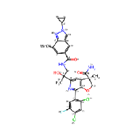 COc1cc(C(=O)NCC(O)(c2cc3c(c(-c4cc(F)c(Cl)cc4Cl)n2)OC[C@]3(C)C(N)=O)C(F)(F)F)cc2cn(C3CC3)nc12